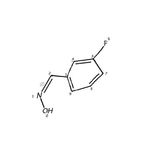 O/N=C\c1[c]c(F)ccc1